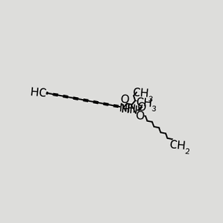 C#CC#CC#CC#CC#CC#CC#CC#CNC(=O)[C@@H](NC(=O)OCCCCCCCCC=C)[C@@H](C)CC